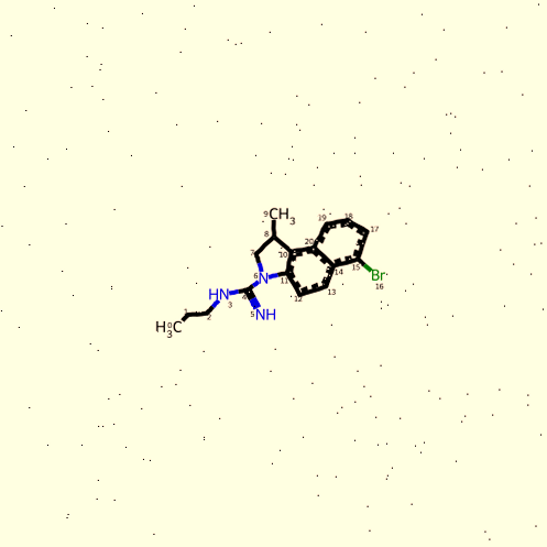 CCCNC(=N)N1CC(C)c2c1ccc1c(Br)cccc21